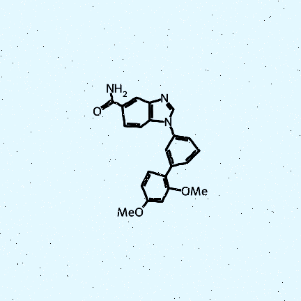 COc1ccc(-c2cccc(-n3cnc4cc(C(N)=O)ccc43)c2)c(OC)c1